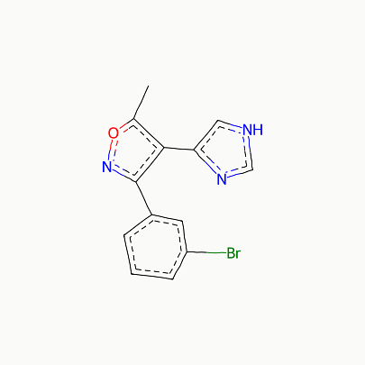 Cc1onc(-c2cccc(Br)c2)c1-c1c[nH]cn1